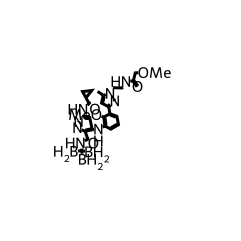 BC(B)(B)NC(=O)c1nnc(NC(=O)C2CC2)cc1Nc1cccc(-c2cc(C)n(CCNC(=O)COC)n2)c1OC